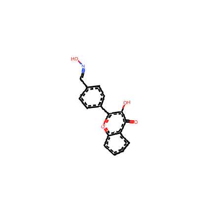 O=c1c(O)c(-c2ccc(C=NO)cc2)oc2ccccc12